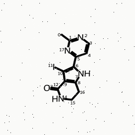 Cc1nccc(-c2[nH]c3c(c2I)C(=O)NCC3)n1